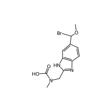 COC(Br)c1ccc2nc(CN(C)C(=O)O)[nH]c2c1